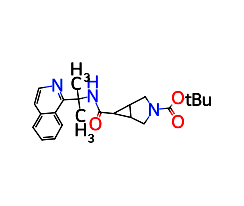 CC(C)(C)OC(=O)N1CC2C(C1)C2C(=O)NC(C)(C)c1nccc2ccccc12